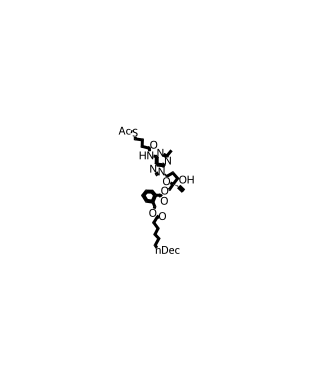 C#C[C@]1(COC(=O)c2ccccc2COC(=O)CCCCCCCCCCCCCCC)O[C@@H](n2cnc3c(NC(=O)CCCSC(C)=O)nc(C)nc32)C[C@@H]1O